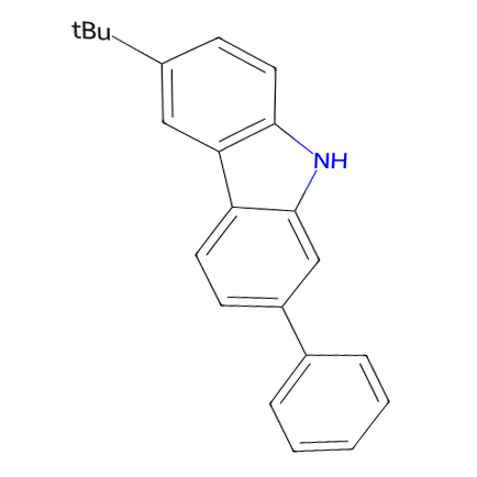 CC(C)(C)c1ccc2[nH]c3cc(-c4ccccc4)ccc3c2c1